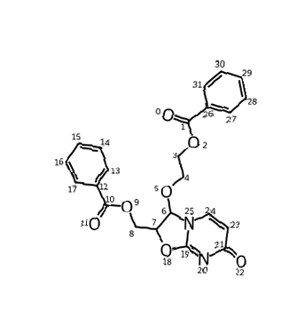 O=C(OCCOC1C(COC(=O)c2ccccc2)Oc2nc(=O)ccn21)c1ccccc1